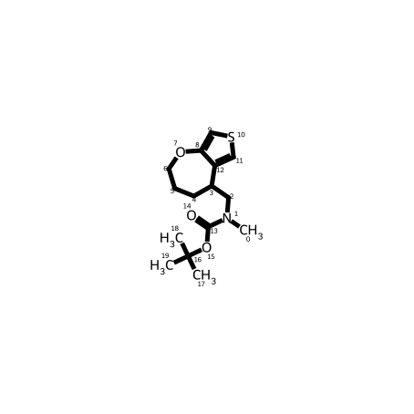 CN(CC1CCCOc2cscc21)C(=O)OC(C)(C)C